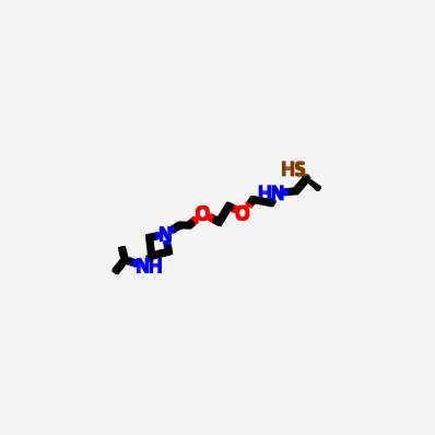 CC(C)NC1CN(CCOCCOCCNC[C@H](C)S)C1